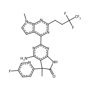 Cn1ccc2c(-c3nc(N)c4c(n3)NC(=O)C4(C)c3ccc(F)cn3)nc(CCC(F)(F)C(F)(F)F)nc21